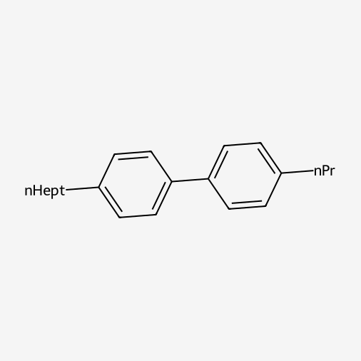 CCCCCCCc1ccc(-c2ccc(CCC)cc2)cc1